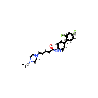 CN1CCN(CCCCC(=O)Nc2ccc(-c3ccc(F)cc3F)cc2)CC1